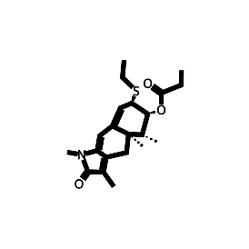 CCS[C@@H]1C=C2C=C3C(=C(C)C(=O)N3C)C[C@]2(C)[C@@H](C)[C@H]1OC(=O)CC